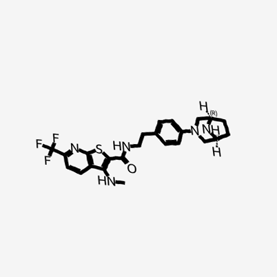 CNc1c(C(=O)NCCc2ccc(N3C[C@H]4CC[C@@H](C3)N4)cc2)sc2nc(C(F)(F)F)ccc12